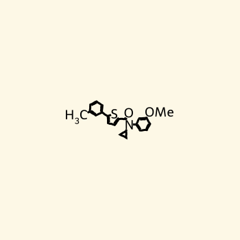 COc1cccc(N(C(=O)c2ccc(-c3cccc(C)c3)s2)C2CC2)c1